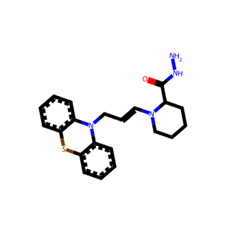 NNC(=O)C1CCCCN1C=CCN1c2ccccc2Sc2ccccc21